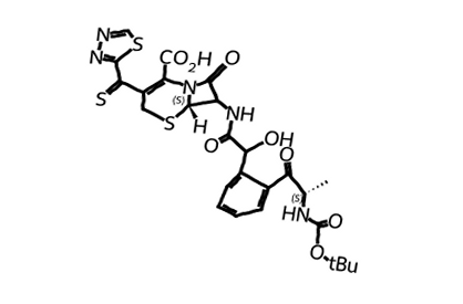 C[C@H](NC(=O)OC(C)(C)C)C(=O)c1ccccc1C(O)C(=O)NC1C(=O)N2C(C(=O)O)=C(C(=S)c3nncs3)CS[C@@H]12